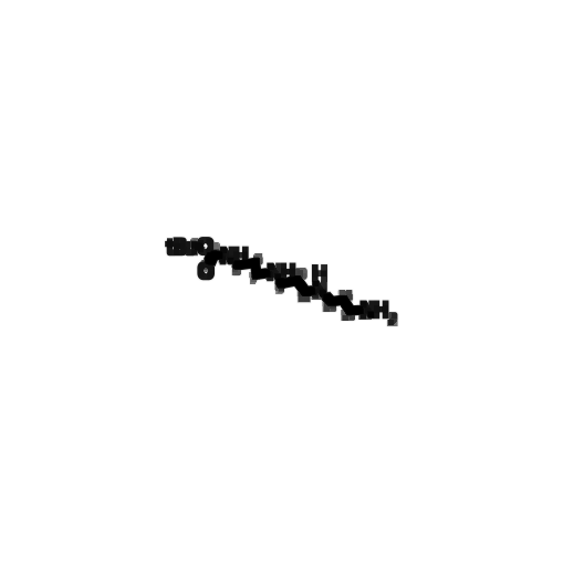 CC(C)(C)OC(=O)NCCCNCCCNCCCN